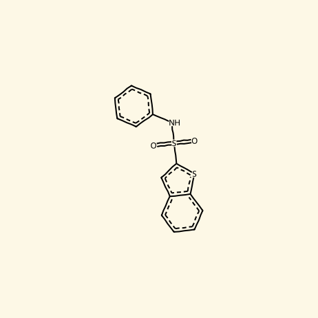 O=S(=O)(Nc1ccccc1)c1cc2ccccc2s1